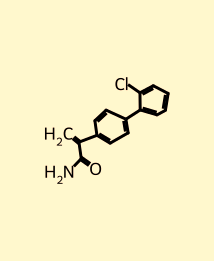 C=C(C(N)=O)c1ccc(-c2ccccc2Cl)cc1